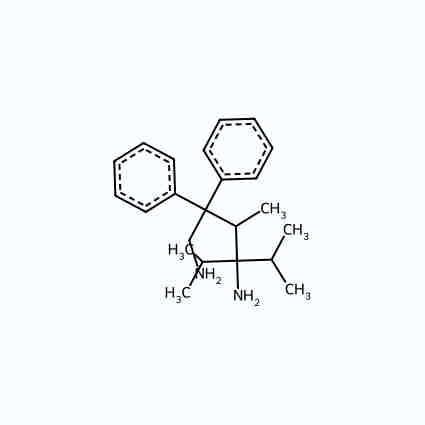 CC(C)C(N)(C(C)C)C(C)C(CN)(c1ccccc1)c1ccccc1